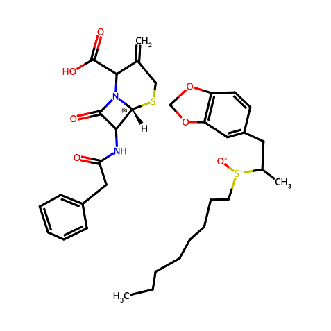 C=C1CS[C@@H]2C(NC(=O)Cc3ccccc3)C(=O)N2C1C(=O)O.CCCCCCCC[S+]([O-])C(C)Cc1ccc2c(c1)OCO2